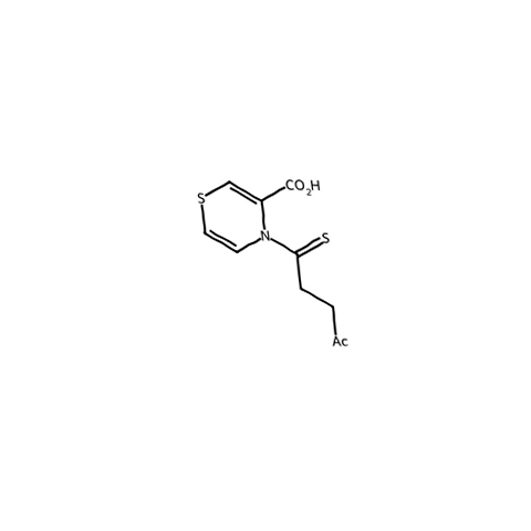 CC(=O)CCC(=S)N1C=CSC=C1C(=O)O